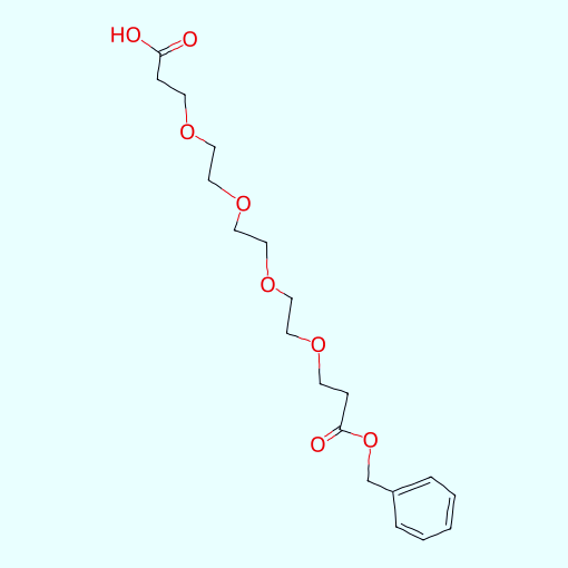 O=C(O)CCOCCOCCOCCOCCC(=O)OCc1ccccc1